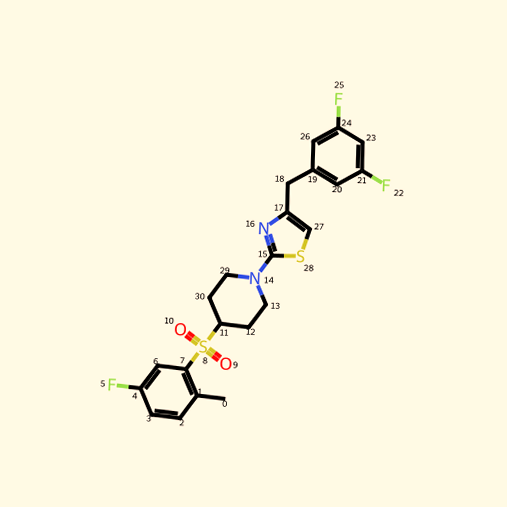 Cc1ccc(F)cc1S(=O)(=O)C1CCN(c2nc(Cc3cc(F)cc(F)c3)cs2)CC1